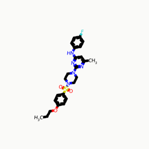 CCCOc1ccc(S(=O)(=O)N2CCN(c3nc(C)cc(Nc4ccc(F)cc4)n3)CC2)cc1